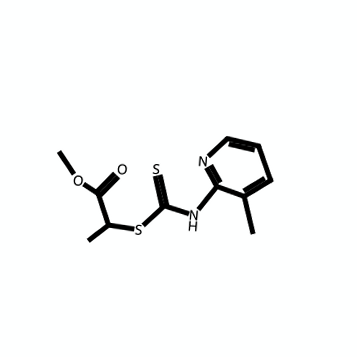 COC(=O)C(C)SC(=S)Nc1ncccc1C